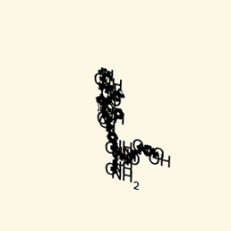 CC[C@H](C)[C@@H]([C@@H](CC(=O)N1CCC[C@H]1[C@H](OC)[C@@H](C)C(=O)N[C@@H](Cc1ccccc1)C(=O)N(C)Cc1ccc(NC(=O)[C@H](CCCNC(N)=O)NC(=O)[C@@H](NC(=O)CCC(=O)N2CCC(C)(C(=O)O)CC2)C(C)C)cc1)OC)N(C)C(=O)[C@@H](NC(=O)[C@H](C(C)C)N(C)C)C(C)C